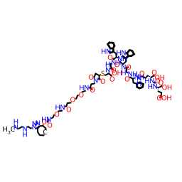 CNCCNCCn1nnc2c1CCCCCC2OC(=O)NCCOCCNC(=O)CCOCCOCCNC(=O)CCN1C(=O)CC(SCC(NC(=O)CNC(=O)C(Cc2c[nH]c3ccccc23)NC(=O)C(Cc2c[nH]c3ccccc23)NC(=O)CNC(=O)C(Cc2ccccc2)NNC(=O)CC[C@H](NC(=O)N[C@@H](CCC(=O)O)C(=O)O)C(=O)O)C(=O)O)C1=O